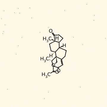 CC(=O)OC[C@@]12C(=CC(=O)C[C@@H]1C)CC[C@@H]1[C@@H]2CC[C@]2(C)C(=O)CC[C@@H]12